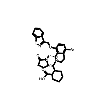 O=C(O)C1CCCCC1C(=O)N1CCc2c(Br)ccc(OCc3noc4ccccc34)c2[C@H]1CN1CCCC1=O